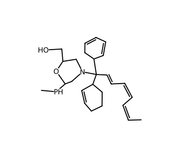 C\C=C/C=C\C=C\C(C1C=CC=CC1)(C1C=CCCC1)N1CC(CO)OC(PC)C1